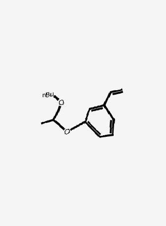 C=Cc1cccc(OC(C)OCCCC)c1